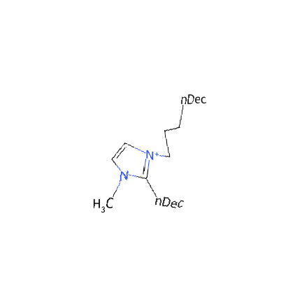 CCCCCCCCCCCCC[n+]1ccn(C)c1CCCCCCCCCC